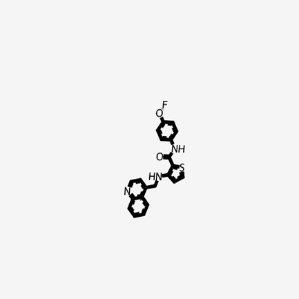 O=C(Nc1ccc(OF)cc1)c1sccc1NCc1ccnc2ccccc12